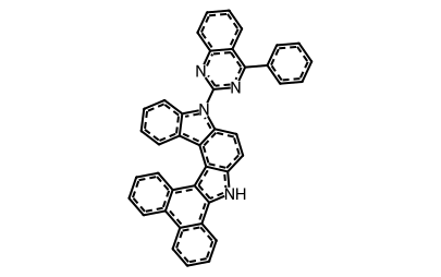 c1ccc(-c2nc(-n3c4ccccc4c4c5c(ccc43)[nH]c3c4ccccc4c4ccccc4c35)nc3ccccc23)cc1